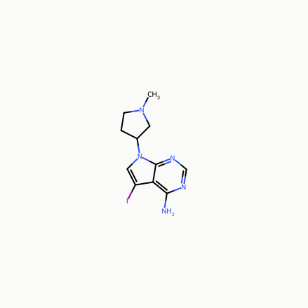 CN1CCC(n2cc(I)c3c(N)ncnc32)C1